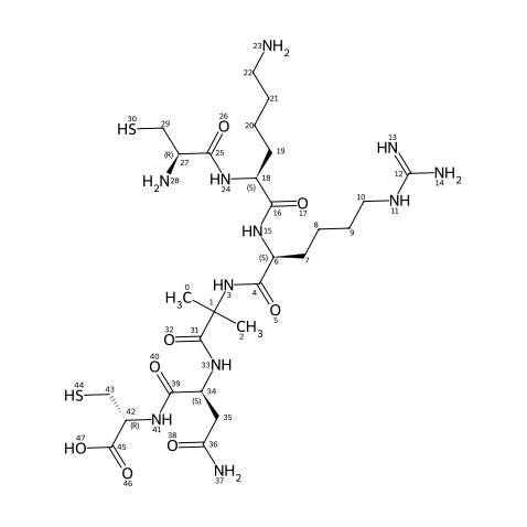 CC(C)(NC(=O)[C@H](CCCCNC(=N)N)NC(=O)[C@H](CCCCN)NC(=O)[C@@H](N)CS)C(=O)N[C@@H](CC(N)=O)C(=O)N[C@@H](CS)C(=O)O